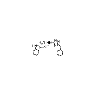 N[C@H](CNc1nnn(Cc2ccccc2)n1)Cc1c[nH]c2ccccc12